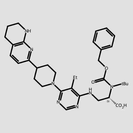 CCc1c(NC[C@@H](C(=O)O)N(C(=O)OCc2ccccc2)C(C)(C)C)ncnc1N1CCC(c2ccc3c(n2)NCCC3)CC1